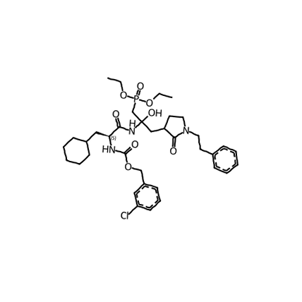 CCOP(=O)(CC(O)(CC1CCN(CCc2ccccc2)C1=O)NC(=O)[C@H](CC1CCCCC1)NC(=O)OCc1cccc(Cl)c1)OCC